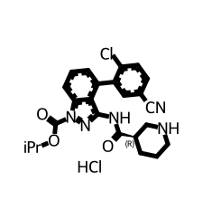 CC(C)OC(=O)n1nc(NC(=O)[C@@H]2CCCNC2)c2c(-c3cc(C#N)ccc3Cl)cccc21.Cl